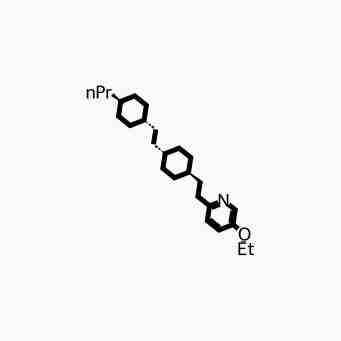 CCC[C@H]1CC[C@H](CC[C@H]2CC[C@H](CCc3ccc(OCC)cn3)CC2)CC1